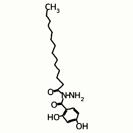 CCCCCCCCCCCCCC(=O)N(N)C(=O)c1ccc(O)cc1O